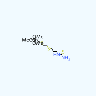 CO[Si](CCSCCSCCCNC(N)=S)(OC)OC